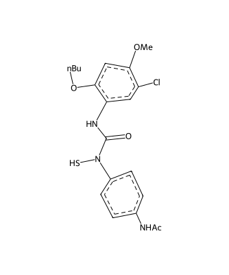 CCCCOc1cc(OC)c(Cl)cc1NC(=O)N(S)c1ccc(NC(C)=O)cc1